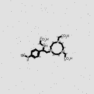 CC(C)(C)Nc1ccc(C(CN2CCN(CC(=O)O)CCN(CC(=O)O)CC2)NCC(=O)O)cc1